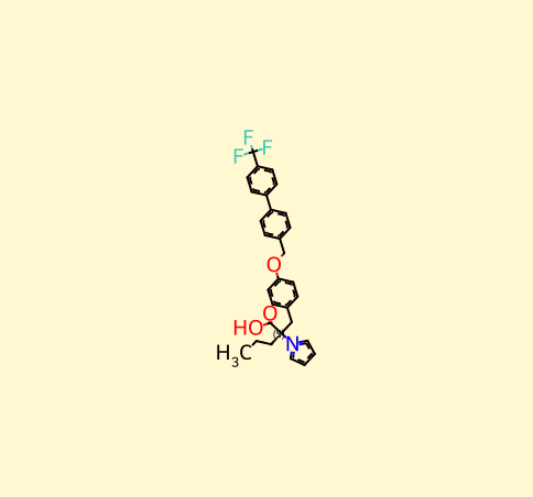 CCC[C@](Cc1ccc(OCc2ccc(-c3ccc(C(F)(F)F)cc3)cc2)cc1)(C(=O)O)n1cccc1